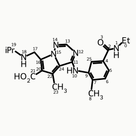 CCNC(=O)c1ccc(C)c(Nc2ncnn3c(CNC(C)C)c(C(=O)O)c(C)c23)c1